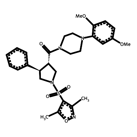 COc1ccc(OC)c(N2CCN(C(=O)[C@@H]3CN(S(=O)(=O)c4c(C)noc4C)C[C@H]3c3ccccc3)CC2)c1